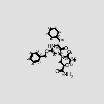 NC(=O)CCN(NC(=O)[C@@H](CC1CCCCC1)NC(=O)OCc1ccccc1)C(=O)[C@@H](F)Cl